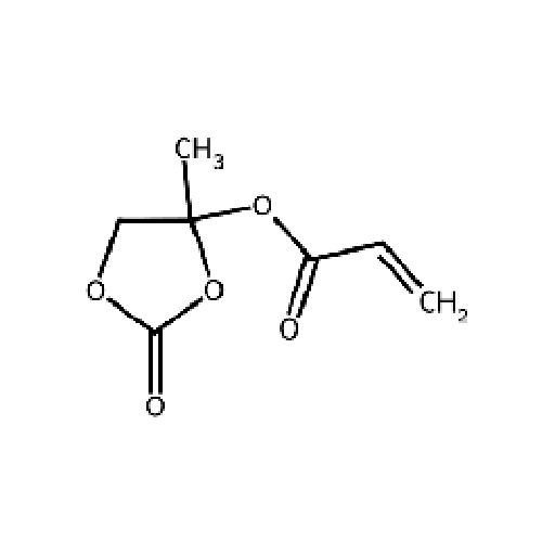 C=CC(=O)OC1(C)COC(=O)O1